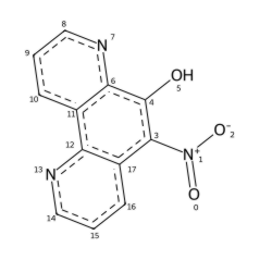 O=[N+]([O-])c1c(O)c2ncccc2c2ncccc12